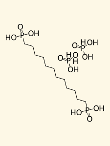 O=P(O)(O)CCCCCCCCCCCCP(=O)(O)O.O=[PH](O)O.O=[PH](O)O